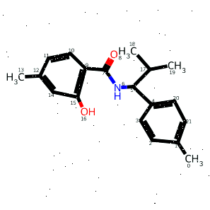 Cc1ccc(C(NC(=O)c2ccc(C)cc2O)C(C)C)cc1